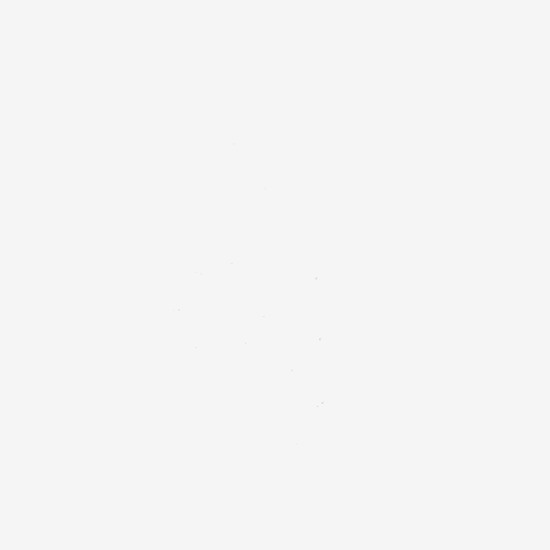 c1ccc(Cc2c3ccccc3c(Cc3ccccc3)c3ccccc23)cc1